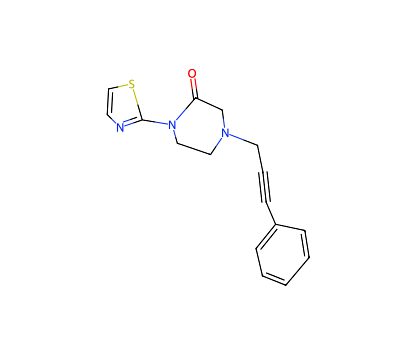 O=C1CN(CC#Cc2ccccc2)CCN1c1nccs1